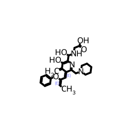 C=c1c(O)c(C(O)NCC(=O)O)nc(CN2CCCCC2)/c1=C/C(=C\C)Oc1ccccc1